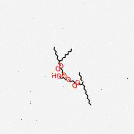 CCCCCCCCCC(CCCCC)COC(=O)CCOCC(CO)OCCC(=O)OCC(CCCCCC)CCCCCCCC